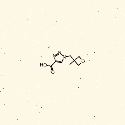 CC1(Cn2cc(C(=O)O)nn2)COC1